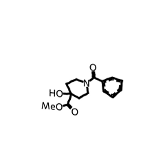 COC(=O)C1(O)CCN(C(=O)c2ccccc2)CC1